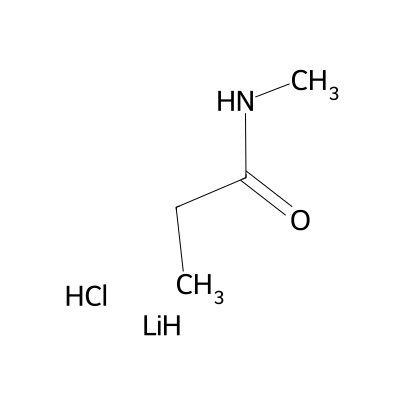 CCC(=O)NC.Cl.[LiH]